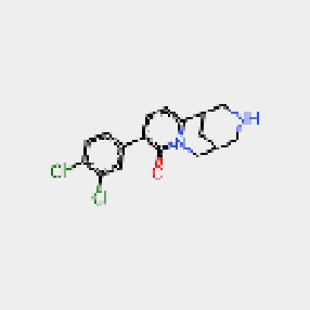 O=c1c(-c2ccc(Cl)c(Cl)c2)ccc2n1CC1CNCC2C1